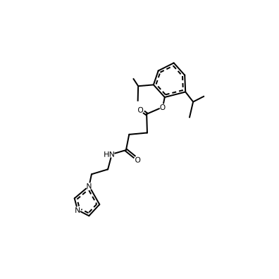 CC(C)c1cccc(C(C)C)c1OC(=O)CCC(=O)NCCn1ccnc1